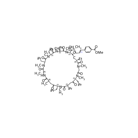 CC[C@@H]1CC(=O)[C@H]([C@H](O)[C@H](C)C/C=C/c2ccc(C(=O)OC)cc2)N(C)C(=O)[C@H](C(C)C)N(C)C(=O)[C@H](CC(C)C)N(C)C(=O)C(CC(C)C)N(C)C(=O)[C@@H](C)NC(=O)[C@H](C)CC(=O)[C@H](CC(C)C)N(C)C(=O)[C@H](C(C)C)CC(=O)[C@H](CC(C)C)N(C)C(=O)CN(C)C1=O